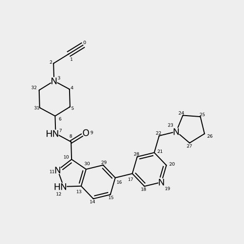 C#CCN1CCC(NC(=O)c2n[nH]c3ccc(-c4cncc(CN5CCCC5)c4)cc23)CC1